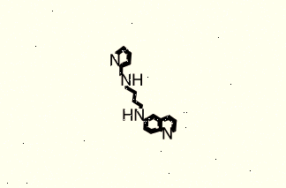 c1ccc(CNCCCCNc2ccc3ncccc3c2)nc1